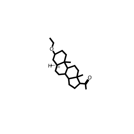 CCOC1CCC2(C)C3CCC4(C)C(C(C)=O)CCC4C3CC[C@H]2C1